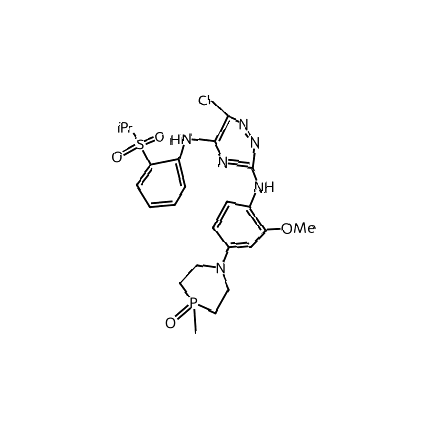 COc1cc(N2CCP(C)(=O)CC2)ccc1Nc1nnc(Cl)c(Nc2ccccc2S(=O)(=O)C(C)C)n1